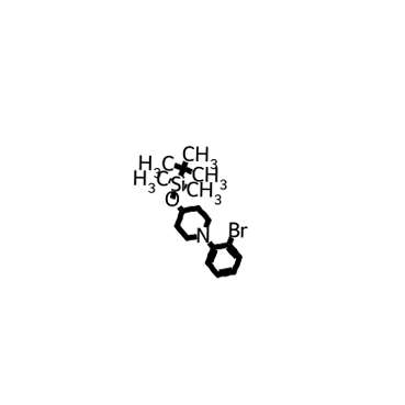 CC(C)(C)[Si](C)(C)OC1CCN(c2ccccc2Br)CC1